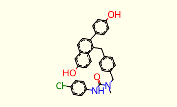 CN(Cc1ccc(Cc2c(-c3ccc(O)cc3)ccc3cc(O)ccc23)cc1)C(=O)Nc1ccc(Cl)cc1